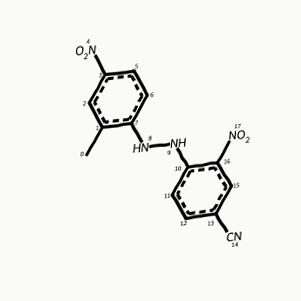 Cc1cc([N+](=O)[O-])ccc1NNc1ccc(C#N)cc1[N+](=O)[O-]